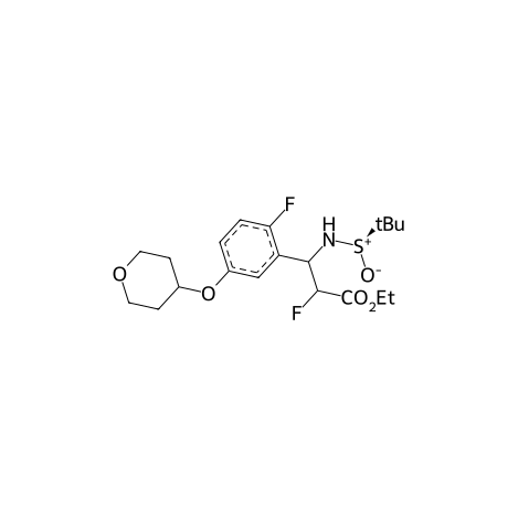 CCOC(=O)C(F)C(N[S@+]([O-])C(C)(C)C)c1cc(OC2CCOCC2)ccc1F